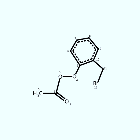 CC(=O)OOc1ccccc1CBr